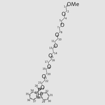 COCCOCCOCCOCCOCCOCCOCCOCCO[PH](C)(c1ccccc1)c1ccccc1